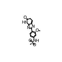 COc1cc(NS(C)(=O)=O)ccc1C1=NC2=CCC(=O)NC2=N1